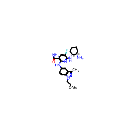 COCCn1nc(C)c2cc(Nc3nc(N[C@@H]4CCCC[C@@H]4N)c(F)cc3C(N)=O)ccc21